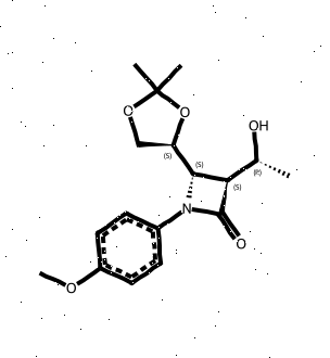 COc1ccc(N2C(=O)[C@H]([C@@H](C)O)[C@H]2[C@H]2COC(C)(C)O2)cc1